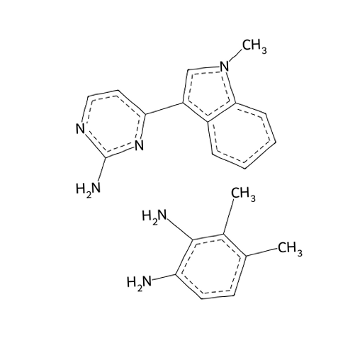 Cc1ccc(N)c(N)c1C.Cn1cc(-c2ccnc(N)n2)c2ccccc21